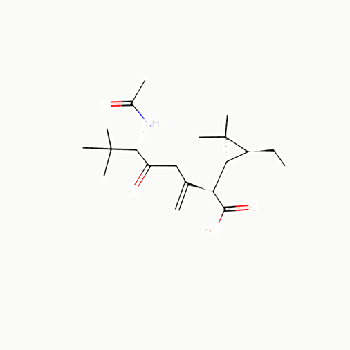 C=C(CC(=O)[C@@H](NC(C)=O)C(C)(C)C)[C@H](C(=O)O)[C@H]1[C@H](CC)C1(C)C